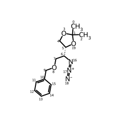 CC1(C)OC[C@@H](C(COCc2ccccc2)N=[N+]=[N-])O1